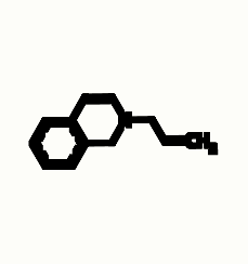 C=CCN1C=Cc2ccccc2C1